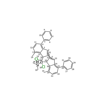 CC1=Cc2c(-c3ccccc3)ccc(C)c2[CH]1[Zr]([Cl])([Cl])([CH]1C(C)=Cc2c(-c3ccccc3)ccc(C)c21)[SiH](C)C